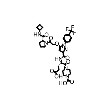 O=C(O)CC[C@H](NC(=O)c1cc(OCC(=O)N2CCC[C@H]2C(=O)NC2CCC2)n(-c2ccc(C(F)(F)F)cc2)n1)C(=O)N1CCN(C(=O)O)CC1